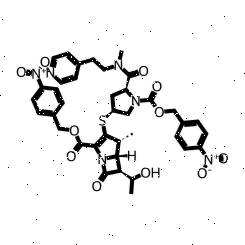 CC(O)[C@H]1C(=O)N2C(C(=O)OCc3ccc([N+](=O)[O-])cc3)=C(S[C@H]3C[C@@H](C(=O)N(C)CCc4ccncc4)N(C(=O)OCc4ccc([N+](=O)[O-])cc4)C3)[C@H](C)[C@H]12